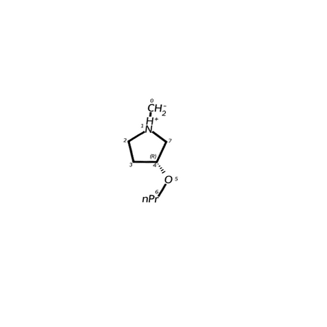 [CH2-][NH+]1CC[C@@H](OCCC)C1